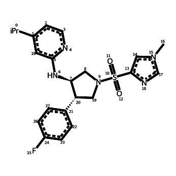 CC(C)c1ccnc(N[C@H]2CN(S(=O)(=O)c3cn(C)cn3)C[C@@H]2c2ccc(F)cc2)c1